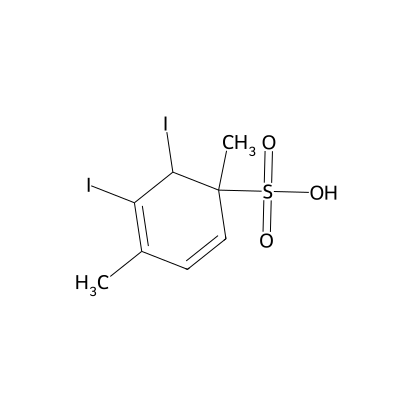 CC1=C(I)C(I)C(C)(S(=O)(=O)O)C=C1